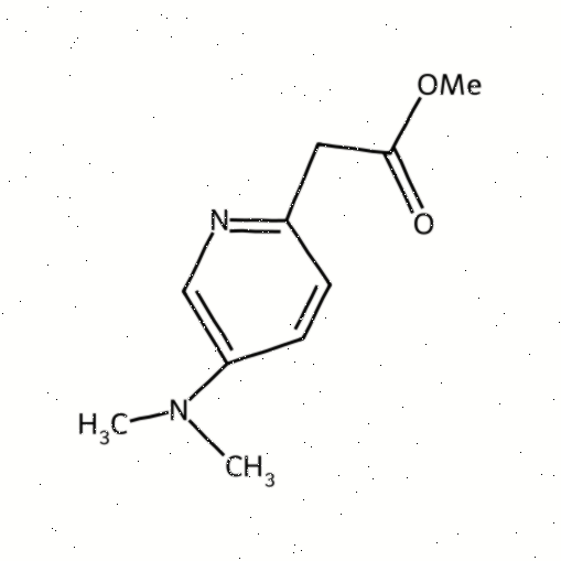 COC(=O)Cc1ccc(N(C)C)cn1